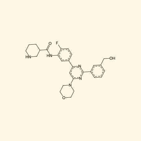 O=C(Nc1cc(-c2cc(N3CCOCC3)nc(-c3cccc(CO)c3)n2)ccc1F)C1CCCNC1